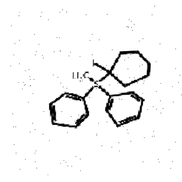 CS(c1ccccc1)(c1ccccc1)C1(I)CCCCC1